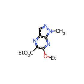 CCOC(=O)c1nc2cnn(C)c2nc1OCC